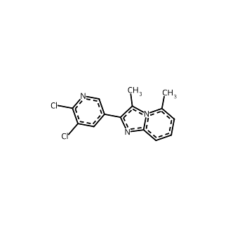 Cc1cccc2nc(-c3cnc(Cl)c(Cl)c3)c(C)n12